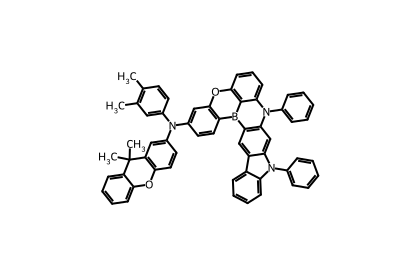 Cc1ccc(N(c2ccc3c(c2)Oc2cccc4c2B3c2cc3c5ccccc5n(-c5ccccc5)c3cc2N4c2ccccc2)c2ccc3c(c2)C(C)(C)c2ccccc2O3)cc1C